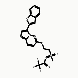 CS(=O)(CCOc1ccc2ncc(-c3cc4ccccc4o3)n2n1)=NC(=O)C(F)(F)F